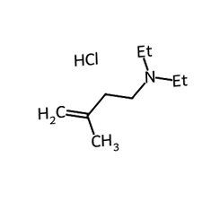 C=C(C)CCN(CC)CC.Cl